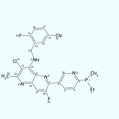 CCP(C)c1ccc(-c2nc3c(NCc4cc(C#N)ccc4F)c(Cl)c(C)nc3cc2F)cn1